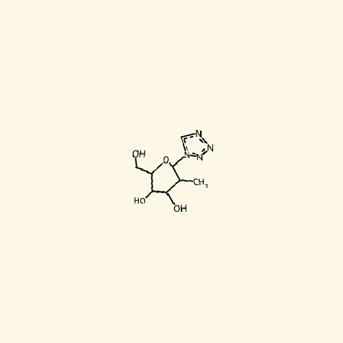 CC1C(O)C(O)C(CO)OC1n1cnnn1